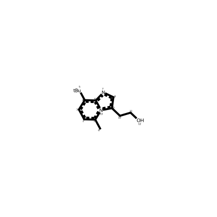 Cc1ccc(C(C)(C)C)c2ncc(CCO)n12